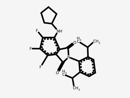 CC(C)c1cccc(C(C)C)c1N1C(=O)c2c(F)c(F)c(F)c(NC3CCCC3)c2C1=O